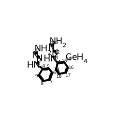 NN=NNc1ccccc1.NN=NNc1ccccc1.[GeH4]